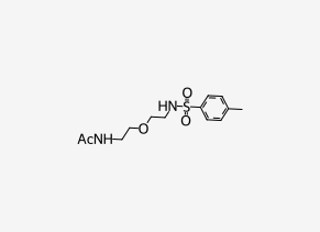 CC(=O)NCCOCCNS(=O)(=O)c1ccc(C)cc1